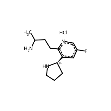 CC(N)CCc1ncc(F)cc1[C@H]1CCCN1.Cl